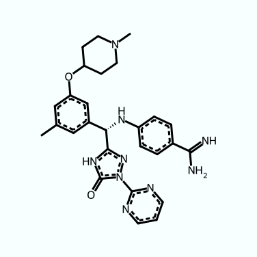 Cc1cc(OC2CCN(C)CC2)cc([C@H](Nc2ccc(C(=N)N)cc2)c2nn(-c3ncccn3)c(=O)[nH]2)c1